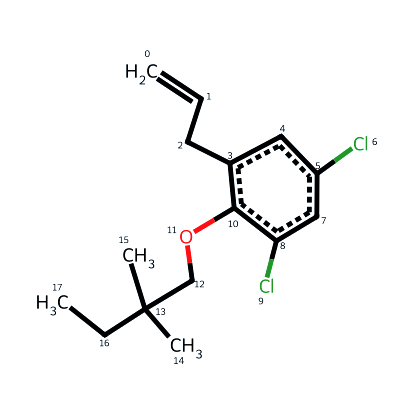 C=CCc1cc(Cl)cc(Cl)c1OCC(C)(C)CC